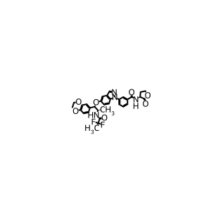 C[C@H](NC(=O)C(C)(F)F)[C@H](Oc1ccc2c(cnn2-c2cccc(C(=O)N[C@H]3CCOC3=O)c2)c1)c1ccc2c(c1)OCCO2